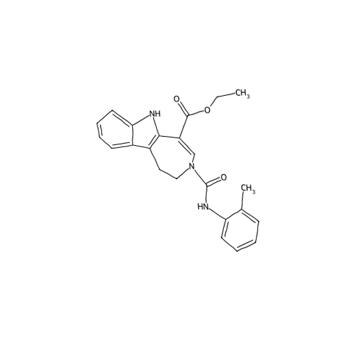 CCOC(=O)C1=CN(C(=O)Nc2ccccc2C)CCc2c1[nH]c1ccccc21